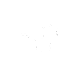 N#Cc1cccc2nnnnc12